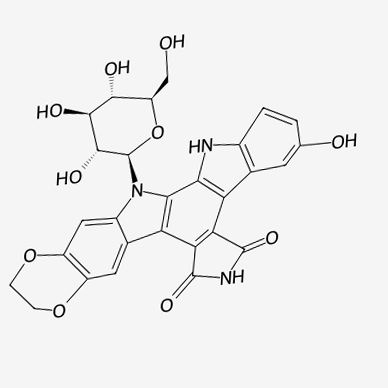 O=C1NC(=O)c2c1c1c3cc(O)ccc3[nH]c1c1c2c2cc3c(cc2n1[C@@H]1O[C@H](CO)[C@@H](O)[C@H](O)[C@H]1O)OCCO3